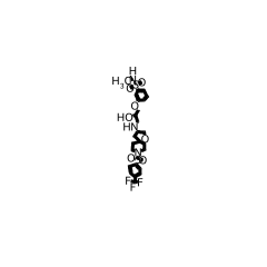 CNS(=O)(=O)c1cccc(OCC(O)CNC2COC3(CCN(S(=O)(=O)c4ccc(C(F)(F)F)cc4)CC3)C2)c1